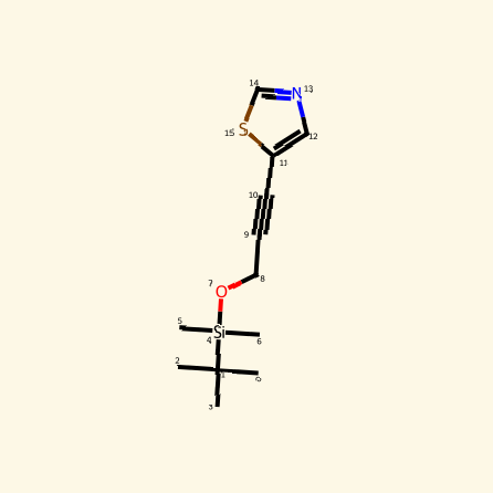 CC(C)(C)[Si](C)(C)OCC#Cc1cncs1